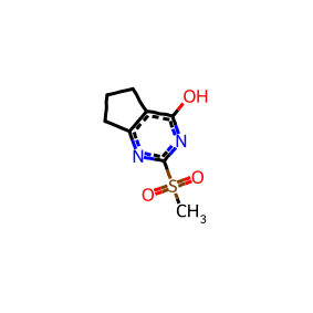 CS(=O)(=O)c1nc(O)c2c(n1)CCC2